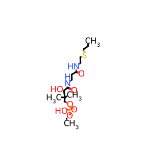 CCCSCCNC(=O)CCNC(=O)C(O)C(C)(C)COP(=O)(O)OCC